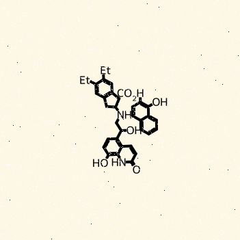 CCc1cc2c(cc1CC)CC(NCC(O)c1ccc(O)c3[nH]c(=O)ccc13)C2.O=C(O)c1ccc2ccccc2c1O